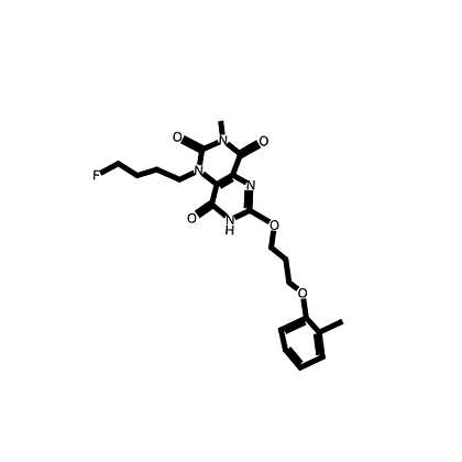 Cc1ccccc1OCCCOc1nc2c(=O)n(C)c(=O)n(CCCCF)c2c(=O)[nH]1